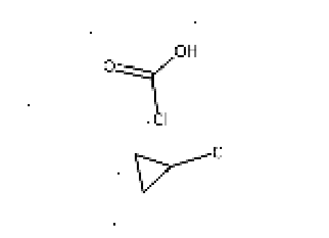 ClC1CC1.O=C(O)Cl